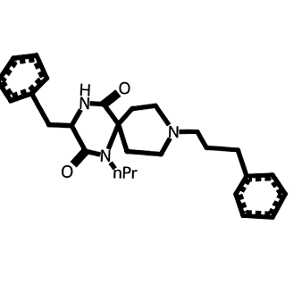 CCCN1C(=O)C(Cc2ccccc2)NC(=O)C12CCN(CCCc1ccccc1)CC2